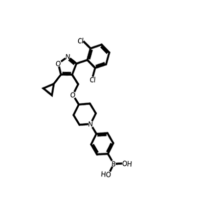 OB(O)c1ccc(N2CCC(OCc3c(-c4c(Cl)cccc4Cl)noc3C3CC3)CC2)cc1